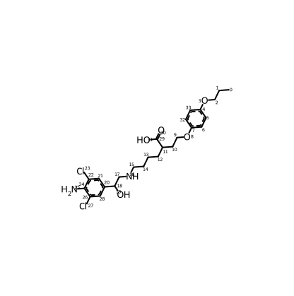 CCCOc1ccc(OCCC(CCCCNCC(O)c2cc(Cl)c(N)c(Cl)c2)C(=O)O)cc1